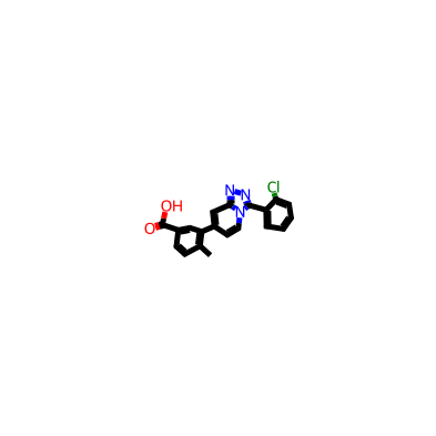 Cc1ccc(C(=O)O)cc1-c1ccn2c(-c3ccccc3Cl)nnc2c1